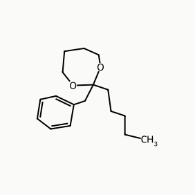 CCCCCC1(Cc2ccccc2)OCCCCO1